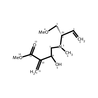 C=C[C@@H](COC)N(C)CC(O)C(=C)C(=O)OC